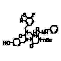 CCCCN1CC(=O)N2[C@@H](Cc3ccc(O)cc3)C(=O)N(Cc3ccc(F)c4scnc34)C[C@@H]2N1C(=O)NCc1ccccc1